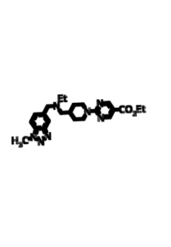 CCOC(=O)c1cnc(N2CCC(CN(CC)Cc3ccc4c(c3)nnn4C)CC2)nc1